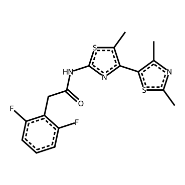 Cc1nc(C)c(-c2nc(NC(=O)Cc3c(F)cccc3F)sc2C)s1